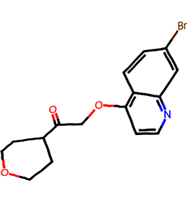 O=C(COc1ccnc2cc(Br)ccc12)C1CCOCC1